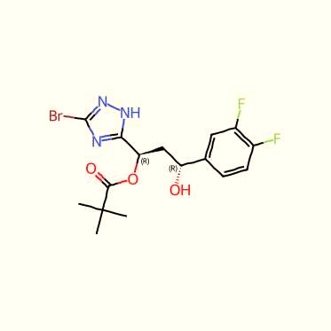 CC(C)(C)C(=O)O[C@H](C[C@@H](O)c1ccc(F)c(F)c1)c1nc(Br)n[nH]1